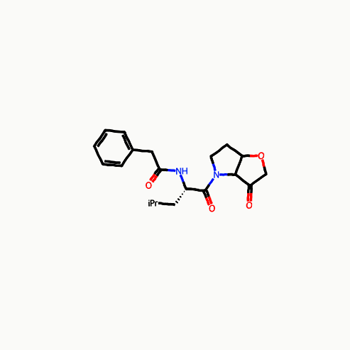 CC(C)C[C@H](NC(=O)Cc1ccccc1)C(=O)N1CCC2OCC(=O)C21